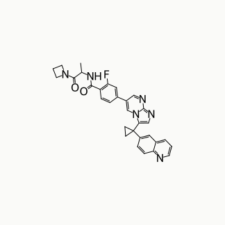 CC(NC(=O)c1ccc(-c2cnc3ncc(C4(c5ccc6ncccc6c5)CC4)n3c2)cc1F)C(=O)N1CCC1